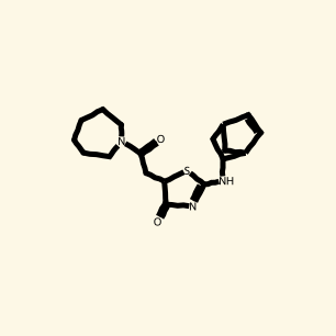 O=C1N=C(NC2CC3C=CC2C3)SC1CC(=O)N1CCCCCC1